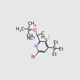 CC[Si](CC)(CC)c1cc(Br)nc([C@@](C)(C#N)O[Si](C)(C)C)c1F